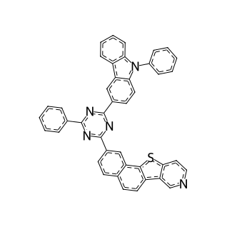 c1ccc(-c2nc(-c3ccc4ccc5c6cnccc6sc5c4c3)nc(-c3ccc4c(c3)c3ccccc3n4-c3ccccc3)n2)cc1